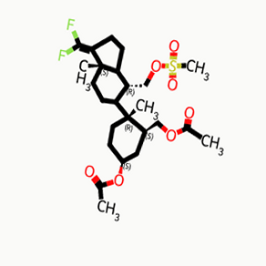 CC(=O)OC[C@H]1C[C@@H](OC(C)=O)CC[C@]1(C)C1CC[C@]2(C)C(=C(F)F)CCC2[C@@H]1COS(C)(=O)=O